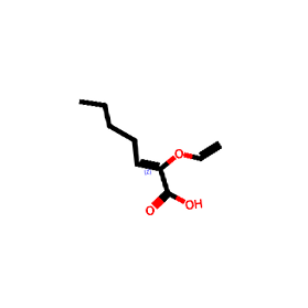 C=CO/C(=C\CCCC)C(=O)O